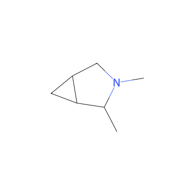 CC1C2CC2CN1C